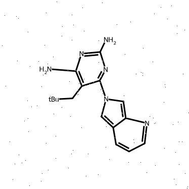 CC(C)(C)Cc1c(N)nc(N)nc1-n1cc2cccnc2c1